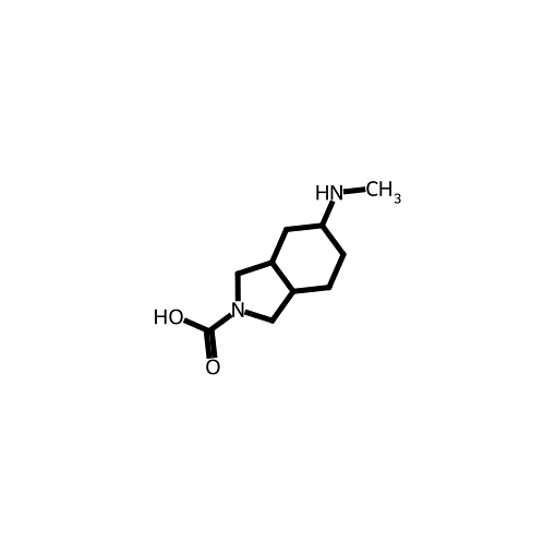 CNC1CCC2CN(C(=O)O)CC2C1